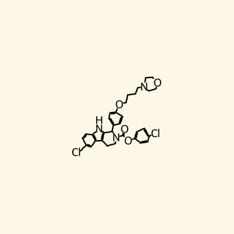 O=C(Oc1ccc(Cl)cc1)N1CCc2c([nH]c3ccc(Cl)cc23)C1c1ccc(OCCCCN2CCOCC2)cc1